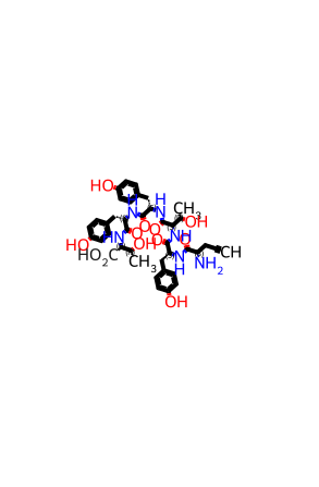 C#CC[C@H](N)C(=O)N[C@@H](Cc1ccc(O)cc1)C(=O)N[C@H](C(=O)N[C@@H](Cc1ccc(O)cc1)C(=O)N[C@@H](Cc1ccc(O)cc1)C(=O)N[C@H](C(=O)O)[C@@H](C)O)[C@@H](C)O